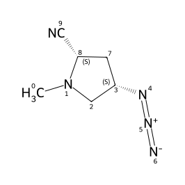 CN1C[C@@H](N=[N+]=[N-])C[C@H]1C#N